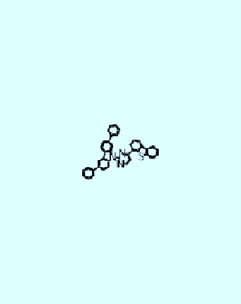 c1ccc(-c2ccc3c(c2)c2ccc(-c4ccccc4)cc2n3-c2nccc(-c3cccc4c3sc3ccccc34)n2)cc1